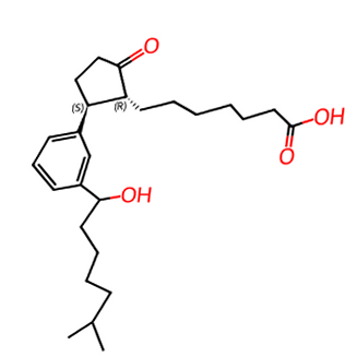 CC(C)CCCCC(O)c1cccc([C@H]2CCC(=O)[C@@H]2CCCCCCC(=O)O)c1